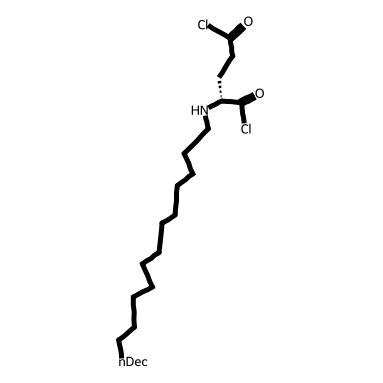 CCCCCCCCCCCCCCCCCCCCCCN[C@H](CCC(=O)Cl)C(=O)Cl